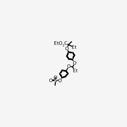 CCOC(=O)C(C)(CC)Oc1ccc(OC(CC)Oc2ccc(OS(C)(=O)=O)cc2)cc1